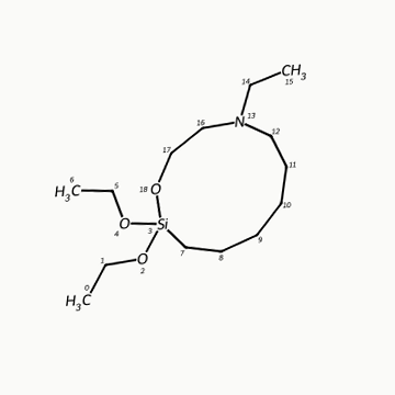 CCO[Si]1(OCC)CCCCCCN(CC)CCO1